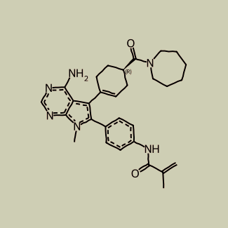 C=C(C)C(=O)Nc1ccc(-c2c(C3=CC[C@H](C(=O)N4CCCCCC4)CC3)c3c(N)ncnc3n2C)cc1